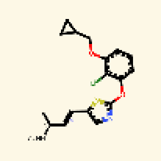 CC(=O)N[C@@H](C)/C=C/c1cnc(Oc2cccc(OCC3CC3)c2Cl)s1